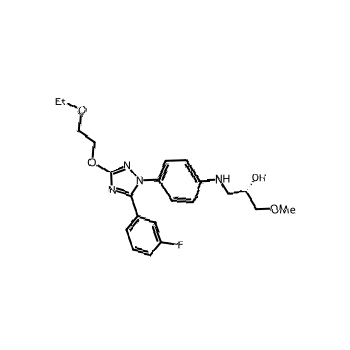 CCOCCOc1nc(-c2cccc(F)c2)n(-c2ccc(NC[C@H](O)COC)cc2)n1